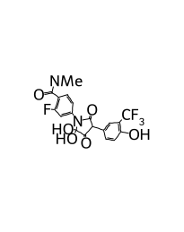 CNC(=O)c1ccc(N2C(=O)C(c3ccc(O)c(C(F)(F)F)c3)C(=O)C2(O)O)cc1F